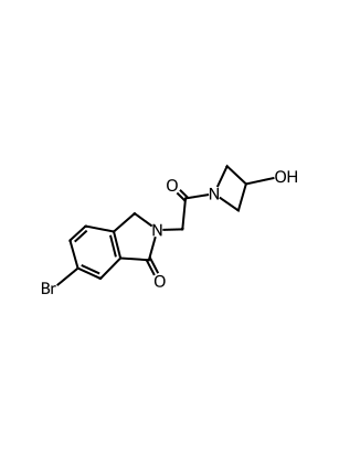 O=C(CN1Cc2ccc(Br)cc2C1=O)N1CC(O)C1